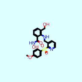 COc1ccc(S(=O)(=O)c2ncccc2CNc2c(CO)cccc2C(=O)NO)cc1